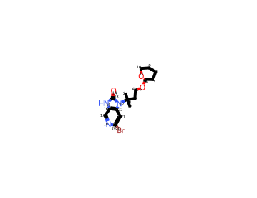 CC(C)(CCOC1CCCCO1)n1c(=O)[nH]c2cnc(Br)cc21